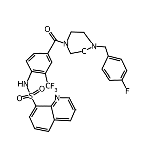 O=C(c1ccc(NS(=O)(=O)c2cccc3cccnc23)c(C(F)(F)F)c1)N1CCN(Cc2ccc(F)cc2)CC1